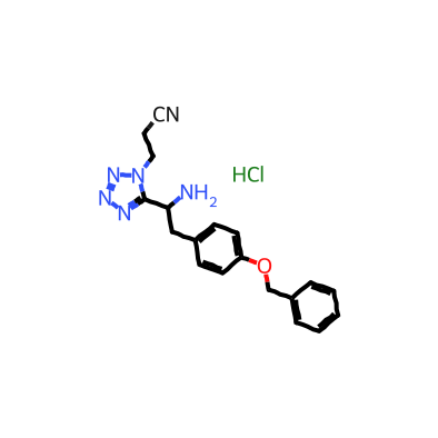 Cl.N#CCCn1nnnc1C(N)Cc1ccc(OCc2ccccc2)cc1